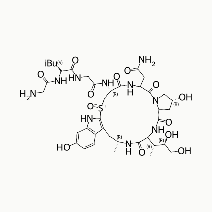 CC[C@H](C)C(NC(=O)CN)C(=O)NCC(=O)N[C@H]1C[S+]([O-])c2[nH]c3cc(O)ccc3c2C[C@@H](C)NC(=O)C([C@@H](C)[C@@H](O)CO)NC(=O)C2C[C@@H](O)CN2C(=O)C(CC(N)=O)NC1=O